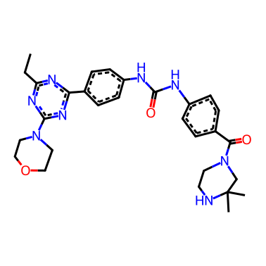 CCc1nc(-c2ccc(NC(=O)Nc3ccc(C(=O)N4CCNC(C)(C)C4)cc3)cc2)nc(N2CCOCC2)n1